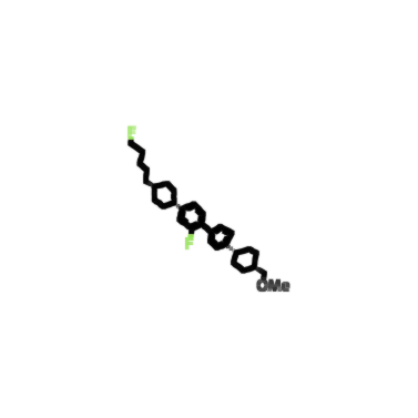 COC[C@H]1CC[C@H](c2ccc(-c3ccc([C@H]4CC[C@H](CCCCCF)CC4)cc3F)cc2)CC1